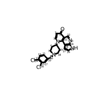 O=c1ccn(C2CCN(Cc3ccc(Cl)c(Cl)c3)CC2)c2c1cnc1[nH]ccc12